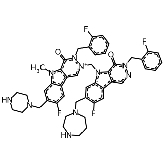 Cn1c2cc(CN3CCNCC3)c(F)cc2c2c[n+](Cn3c4cc(CN5CCCNCC5)c(F)cc4c4cnn(Cc5ccccc5F)c(=O)c43)n(Cc3ccccc3F)c(=O)c21